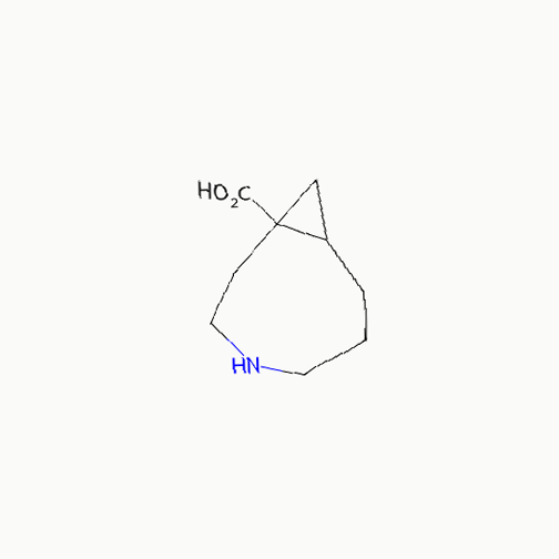 O=C(O)C12CCNCCCC1C2